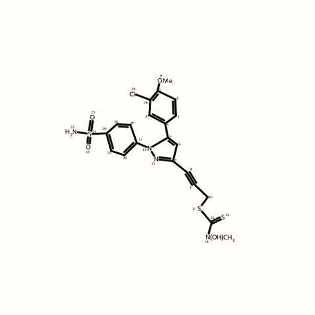 COc1ccc(-c2cc(C#CCSC(=S)N(C)O)nn2-c2ccc(S(N)(=O)=O)cc2)cc1Cl